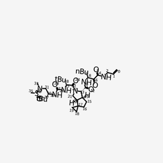 C=CCNC(=O)C(=O)C(CCCC)NC(=O)[C@@H]1[C@H]2CCC3(CC3)[C@H]2CN1C(=O)[C@@H](NC(=O)N[C@H](CN(C)[S+](C)[O-])C(C)(C)C)C(C)(C)C